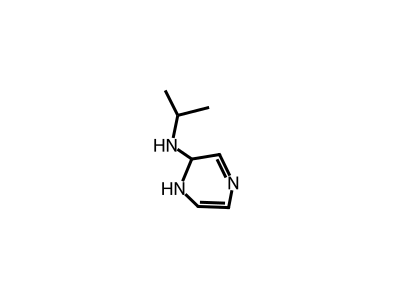 CC(C)NC1C=NC=CN1